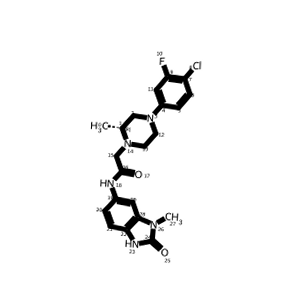 C[C@@H]1CN(c2ccc(Cl)c(F)c2)CCN1CC(=O)Nc1ccc2[nH]c(=O)n(C)c2c1